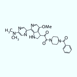 COc1cnc(-c2cnc(N(C)C)cn2)c2c1C(C(=O)C(=O)N1CCN(C(=O)c3ccccc3)CC1)CN2